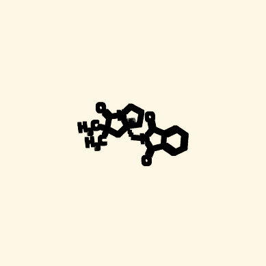 CC1(C)C[C@]2(CN3C(=O)c4ccccc4C3=O)CCCN2C1=O